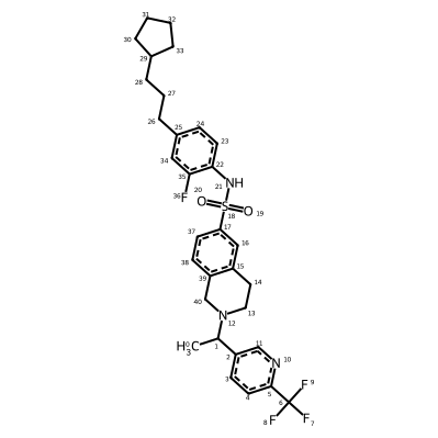 CC(c1ccc(C(F)(F)F)nc1)N1CCc2cc(S(=O)(=O)Nc3ccc(CCCC4CCCC4)cc3F)ccc2C1